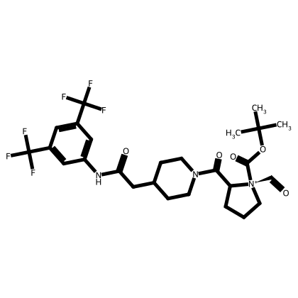 CC(C)(C)OC(=O)[N@+]1([C]=O)CCCC1C(=O)N1CCC(CC(=O)Nc2cc(C(F)(F)F)cc(C(F)(F)F)c2)CC1